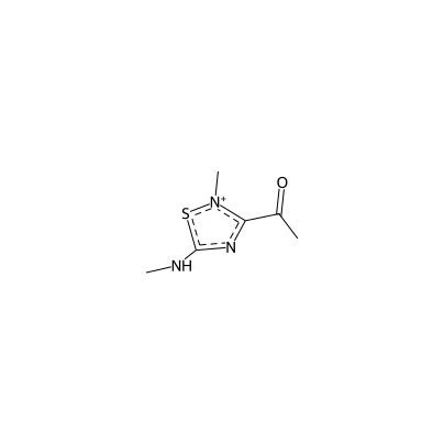 CNc1nc(C(C)=O)[n+](C)s1